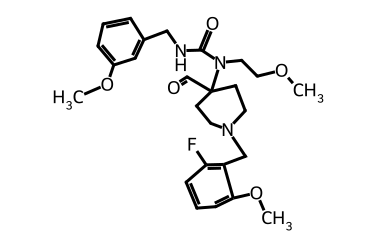 COCCN(C(=O)NCc1cccc(OC)c1)C1(C=O)CCN(Cc2c(F)cccc2OC)CC1